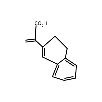 C=C(C(=O)O)C1=Cc2ccccc2CC1